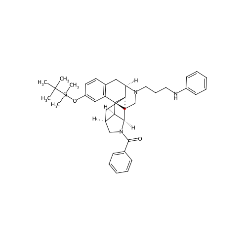 CC(C)(C)[Si](C)(C)Oc1ccc2c(c1)[C@]13CCN(CCCNc4ccccc4)[C@H](C2)[C@]12CC[C@@H]1[C@H]3[C@@H](CN1C(=O)c1ccccc1)C2